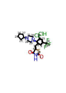 Cl.O=C1NC(=O)C(=Cc2cc(C(F)(F)F)cc(Cl)c2N2CCN(C3CCCC3)CC2)S1